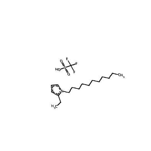 CCCCCCCCCCCn1cccc1CC.O=S(=O)(O)C(F)(F)F